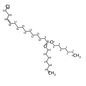 CCCCCCCOC(CCCCCCCCC/C=C\CCCl)OCCCCCCC